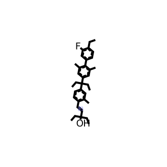 CCc1ccc(-c2c(C)cc(C(CC)(CC)c3ccc(/C=C/C(O)(CC)CC)c(C)c3)cc2C)cc1F